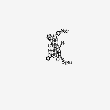 C[C@H](CSSC(C)(C)C)NC(=O)[C@H](Cc1c[nH]c2ccccc12)NC(=O)[C@H](CCCCN(C)C)NC(=O)CNC(=O)[C@H](CSSC(C)(C)C)NC(=O)OCc1ccc(N=[N+]=[N-])cc1